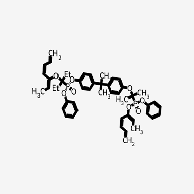 C=C/C=C\C(=C/C)OC(CC)(CC)P(=O)(Oc1ccccc1)Oc1ccc(C(C)(C)c2ccc(OC(C)(C)P(=O)(OC(/C=C\C=C)=C/C)Oc3ccccc3)cc2)cc1